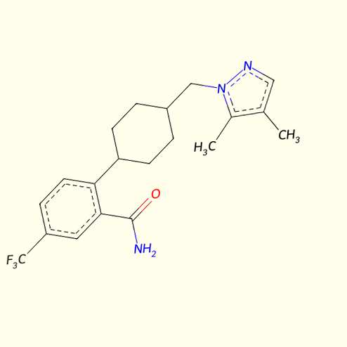 Cc1cnn(CC2CCC(c3ccc(C(F)(F)F)cc3C(N)=O)CC2)c1C